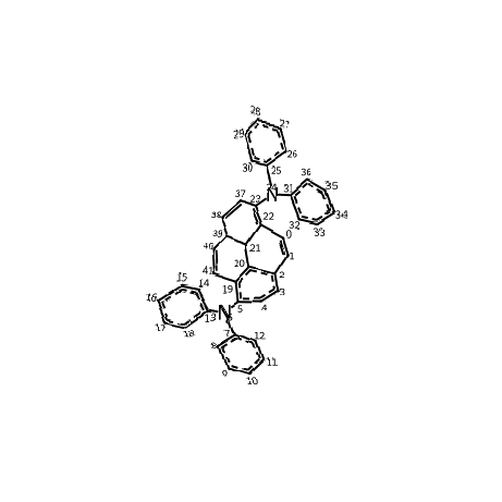 C1=Cc2ccc(N(c3ccccc3)c3ccccc3)c3c2C2C1=C(N(c1ccccc1)c1ccccc1)C=CC2C=C3